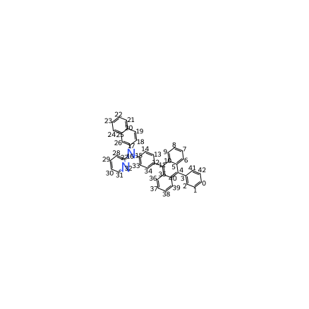 c1ccc(-c2c3ccccc3c(-c3ccc(N(c4ccc5ccccc5c4)c4ccccn4)cc3)c3ccccc23)cc1